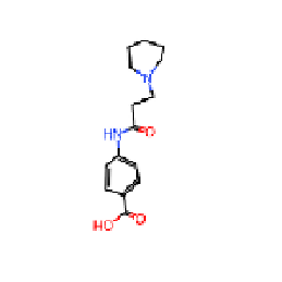 O=C(CCN1CCCCC1)Nc1ccc(C(=O)O)cc1